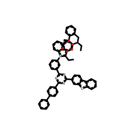 C=C(/C=C\c1c(CC)n(-c2cccc(-c3nc(-c4ccc(-c5ccccc5)cc4)nc(-c4ccc5c(c4)oc4ccccc45)n3)c2)c2ccccc12)c1ccccc1CC(CC)c1ccccc1